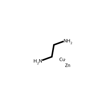 NCCN.[Cu].[Zn]